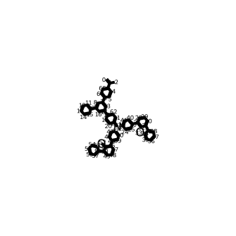 C=C(C)c1ccc(-c2cc(-c3ccccc3)cc(-c3ccc(N(c4ccc(-c5cccc6c5oc5ccccc56)cc4)c4ccc(-c5cccc6c5oc5ccccc56)cc4)cc3)c2)cc1